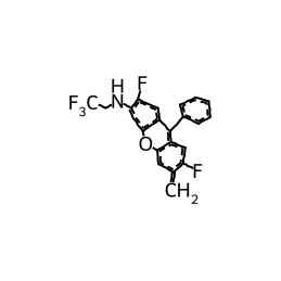 C=c1cc2c(cc1F)=C(c1ccccc1)c1cc(F)c(NCC(F)(F)F)cc1O2